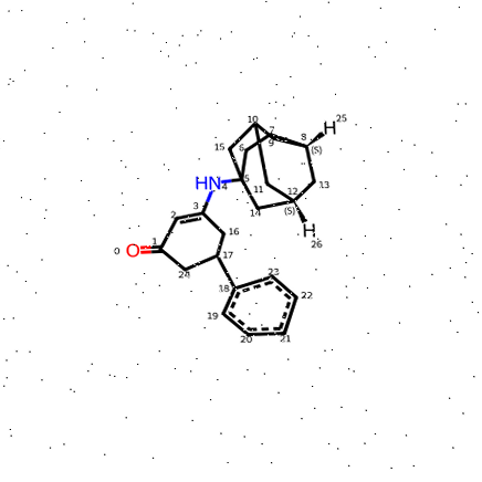 O=C1C=C(NC23CC[C@H]4CC(C[C@H](C4)C2)C3)CC(c2ccccc2)C1